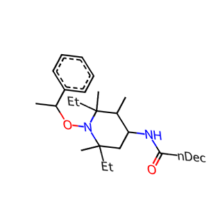 CCCCCCCCCCC(=O)NC1CC(C)(CC)N(OC(C)c2ccccc2)C(C)(CC)C1C